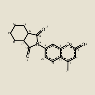 Cc1cc(=O)oc2cc(N3C(=O)C4CCCCC4C3=O)ccc12